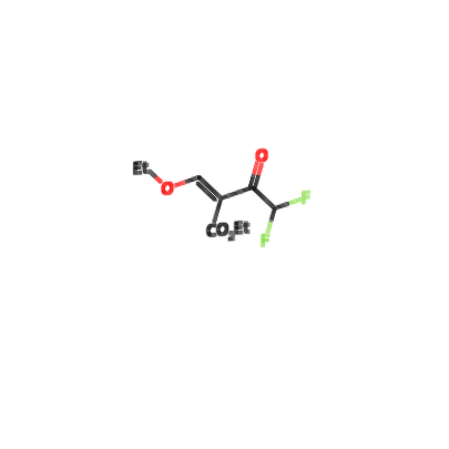 CCO/C=C(\C(=O)OCC)C(=O)C(F)F